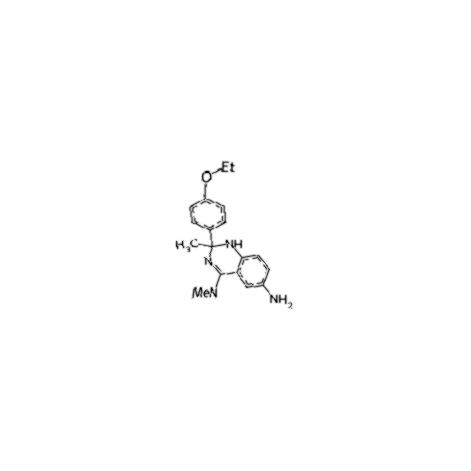 CCOc1ccc(C2(C)N=C(NC)c3cc(N)ccc3N2)cc1